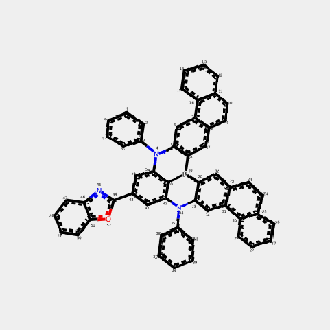 c1ccc(N2c3cc4c(ccc5ccccc54)cc3B3c4cc5ccc6ccccc6c5cc4N(c4ccccc4)c4cc(-c5nc6ccccc6o5)cc2c43)cc1